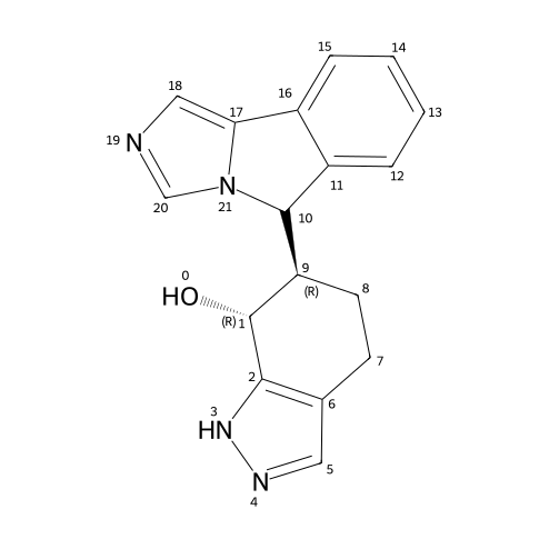 O[C@H]1c2[nH]ncc2CC[C@@H]1C1c2ccccc2-c2cncn21